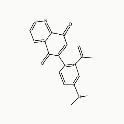 C=C(C)c1cc(N(C)C)ccc1C1=CC(=O)c2ncccc2C1=O